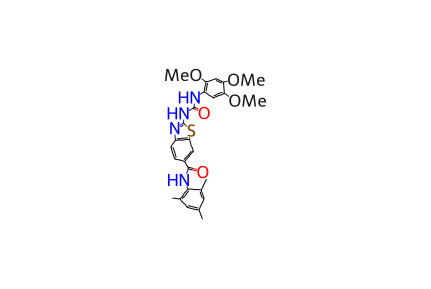 COc1cc(OC)c(OC)cc1NC(=O)Nc1nc2ccc(C(=O)Nc3c(C)cc(C)cc3C)cc2s1